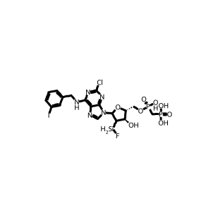 O=P(O)(O)CP(=O)(O)OC[C@H]1OC(n2cnc3c(NCc4cccc(I)c4)nc(Cl)nc32)C([SiH2]F)[C@@H]1O